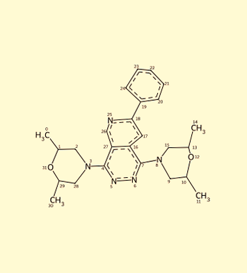 CC1CN(c2nnc(N3CC(C)OC(C)C3)c3cc(-c4ccccc4)ncc23)CC(C)O1